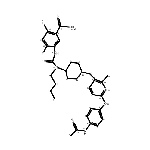 CCCCN(C(=O)Nc1cc(C(N)=O)c(F)cc1F)C1CCN(Cc2ccc(Oc3ccc(NC(C)=O)cc3)nc2C)CC1